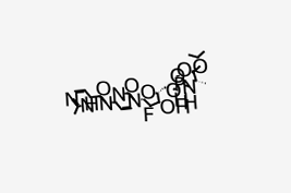 Cc1nccc(C(=O)Nc2ccn([C@@H]3O[C@H](CO[PH](=O)N[C@@H](C)C(=O)OC(C)C)[C@@H](O)[C@H]3F)c(=O)n2)n1